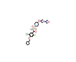 O=C(NS(=O)(=O)N1CCC(OC2CN(C3COC3)C2)CC1)c1cc(Cl)c(OCC2CCCC2)cc1F